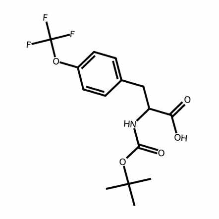 CC(C)(C)OC(=O)NC(Cc1ccc(OC(F)(F)F)cc1)C(=O)O